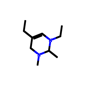 CCC1=CN(CC)C(C)N(C)C1